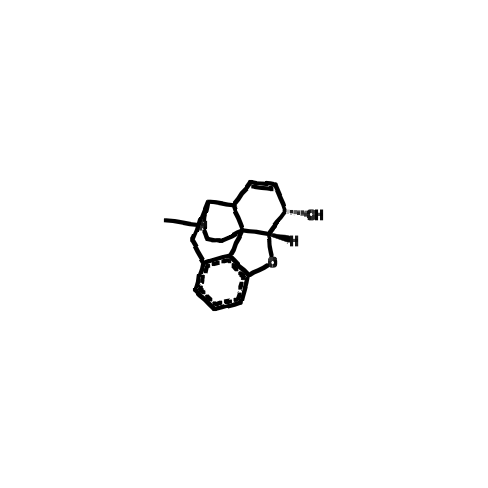 CN1CCC23c4c5cccc4O[C@H]2[C@@H](O)C=CC3C1C5